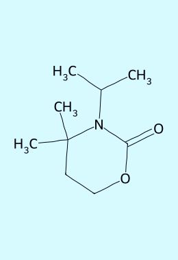 CC(C)N1C(=O)OCCC1(C)C